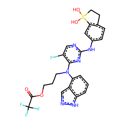 O=C(OCCCN(c1nc(Nc2ccc3c(c2)S(O)(O)CC3)ncc1F)c1cccc2[nH]ncc12)C(F)(F)F